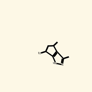 CCC1CC(C)c2c(C)n[nH]c21